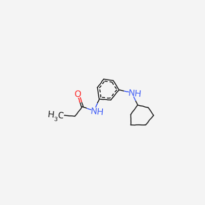 CCC(=O)Nc1cccc(NC2CCCCC2)c1